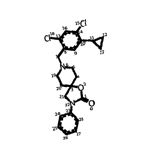 O=C1OC2(CCN(Cc3cc(C4CC4)c(Cl)cc3Cl)CC2)CN1c1ccccc1